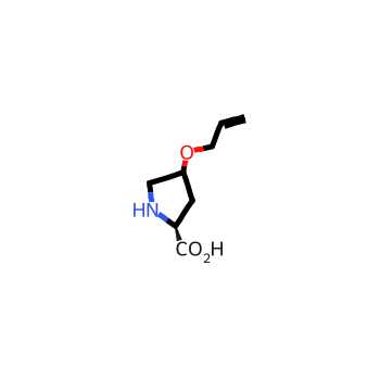 C=CCOC1CN[C@H](C(=O)O)C1